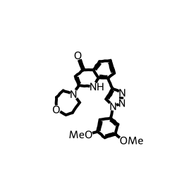 COc1cc(OC)cc(-n2cc(-c3cccc4c(=O)cc(N5CCCOCC5)[nH]c34)nn2)c1